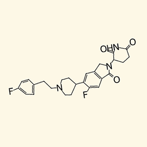 O=C1CCC(N2Cc3cc(C4CCN(CCc5ccc(F)cc5)CC4)c(F)cc3C2=O)C(=O)N1